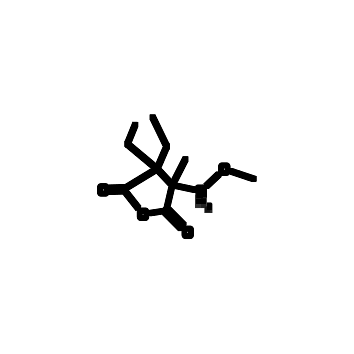 CCC1(CC)C(=O)OC(=O)C1(C)[SiH2]OC